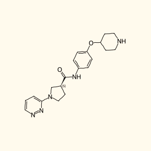 O=C(Nc1ccc(OC2CCNCC2)cc1)[C@H]1CCN(c2cccnn2)C1